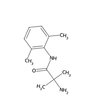 Cc1cccc(C)c1NC(=O)C(C)(C)N